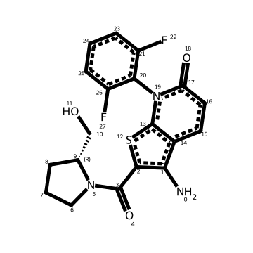 Nc1c(C(=O)N2CCC[C@@H]2CO)sc2c1ccc(=O)n2-c1c(F)cccc1F